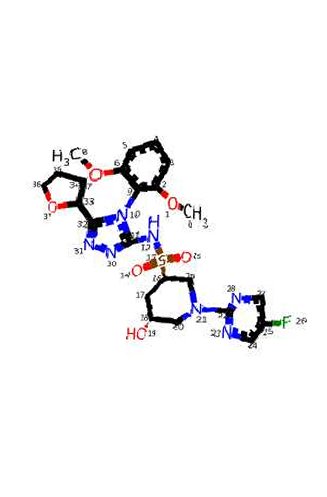 COc1cccc(OC)c1-n1c(NS(=O)(=O)[C@@H]2C[C@@H](O)CN(c3ncc(F)cn3)C2)nnc1C1CCCO1